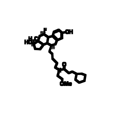 COCCN(CCCCC[C@@H]1Cc2cc(O)ccc2C2C1C1CC[C@H](O)[C@@]1(C)C[C@@H]2F)C(=O)CCC1CCCCC1